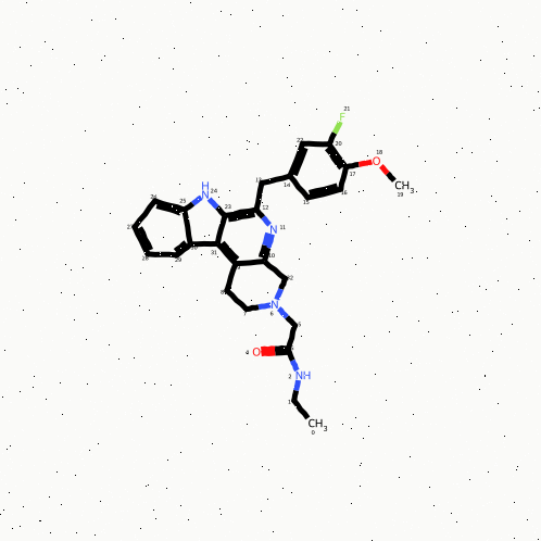 CCNC(=O)CN1CCc2c(nc(Cc3ccc(OC)c(F)c3)c3[nH]c4ccccc4c23)C1